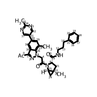 CC(=O)c1nn(CC(=O)N2[C@H](C(=O)NCCCc3ccccc3)C[C@@]3(C)C[C@@H]23)c2c(C)cc(-c3cnc(C)nc3)cc12